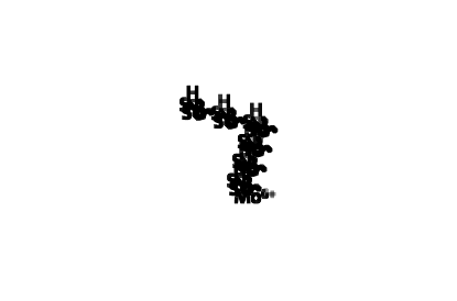 CCc1cccc(NC(=S)[S-])c1CC.CCc1cccc(NC(=S)[S-])c1CC.CCc1cccc(NC(=S)[S-])c1CC.CCc1cccc(NC(=S)[S-])c1CC.CCc1cccc(NC(=S)[S-])c1CC.CCc1cccc(NC(=S)[S-])c1CC.[Mo+6]